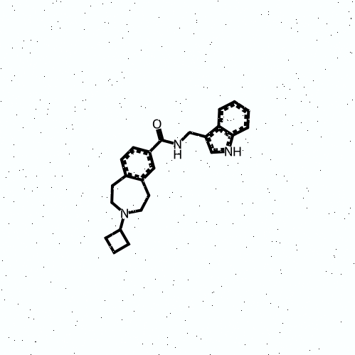 O=C(NCc1c[nH]c2ccccc12)c1ccc2c(c1)CCN(C1CCC1)CC2